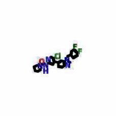 O=C(Nc1cc(-c2ccc3ncn(Cc4ccc(F)c(F)c4)c3c2)c(Cl)cn1)N1CCCCC1